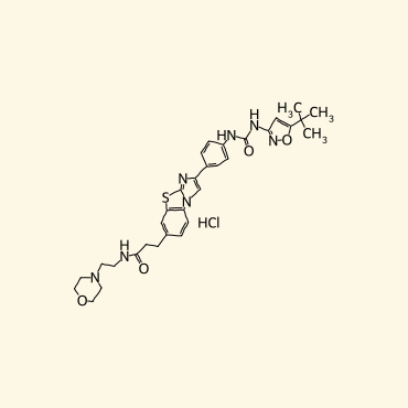 CC(C)(C)c1cc(NC(=O)Nc2ccc(-c3cn4c(n3)sc3cc(CCC(=O)NCCN5CCOCC5)ccc34)cc2)no1.Cl